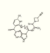 CNC1=C(C(=N)c2cnc3[nH]cc(C(=O)N[C@H](C)C(=O)N4CC(C#N)C4)c3n2)C=CC(C)N1